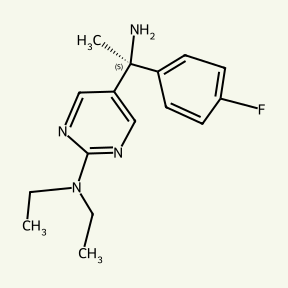 CCN(CC)c1ncc([C@@](C)(N)c2ccc(F)cc2)cn1